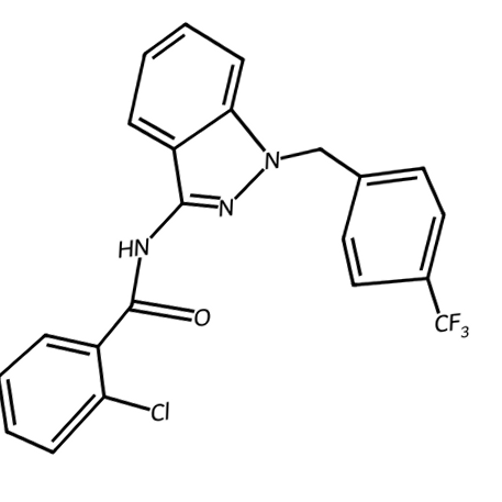 O=C(Nc1nn(Cc2ccc(C(F)(F)F)cc2)c2ccccc12)c1ccccc1Cl